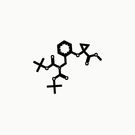 COC(=O)C1(Oc2ccccc2CN(C(=O)OC(C)(C)C)C(=O)OC(C)(C)C)CC1